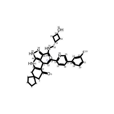 O=C1CC2(CCCC2)CC2=C1C(/C=C/c1ccc(-c3cccc(F)c3)cn1)c1c(C(=O)NC[C@H]3C[C@@H](O)C3)n[nH]c1N2